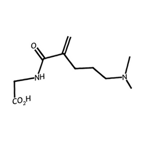 C=C(CCCN(C)C)C(=O)NCC(=O)O